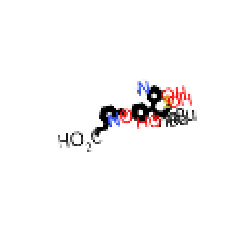 CCCCC1(CCCC)CS(O)(O)c2ccc(N(C)C)cc2C(c2ccc(OCc3cccc(CCC(=O)O)n3)cc2)C1O